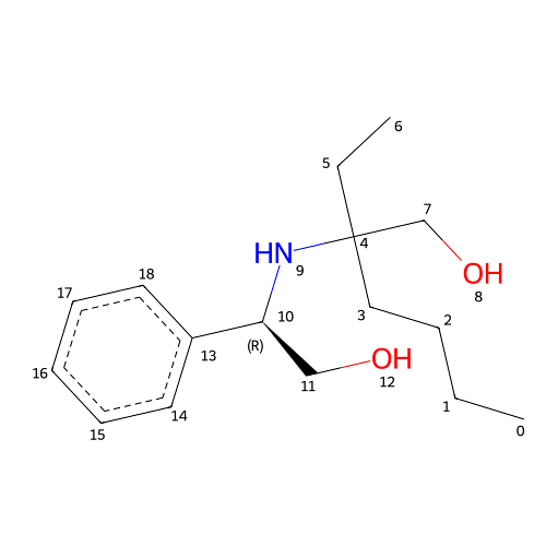 CCCCC(CC)(CO)N[C@@H](CO)c1ccccc1